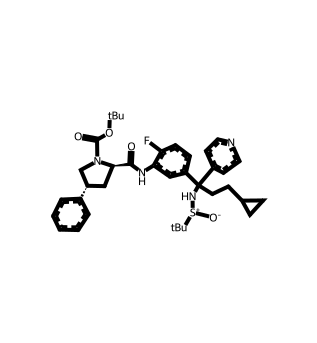 CC(C)(C)OC(=O)N1C[C@@H](c2ccccc2)C[C@@H]1C(=O)Nc1cc(C(CCC2CC2)(N[S+]([O-])C(C)(C)C)c2ccncc2)ccc1F